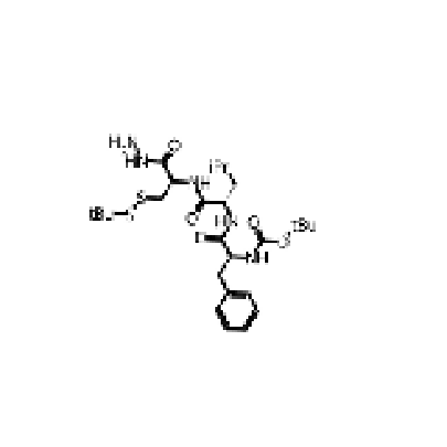 CC(C)C[C@H](NC(=O)[C@H](Cc1ccccc1)NC(=O)OC(C)(C)C)C(=O)N[C@@H](CSSC(C)(C)C)C(=O)NN